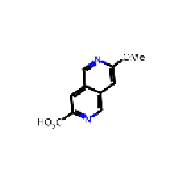 COc1cc2cnc(C(=O)O)cc2cn1